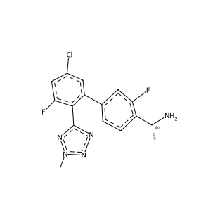 C[C@@H](N)c1ccc(-c2cc(Cl)cc(F)c2-c2nnn(C)n2)cc1F